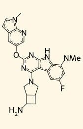 CNc1cc(F)cc2c1[nH]c1nc(Oc3cnc4c(ccn4C)c3)nc(N3CC4CC(N)C4C3)c12